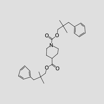 CC(C)(COC(=O)C1CCN(C(=O)OCC(C)(C)Cc2ccccc2)CC1)Cc1ccccc1